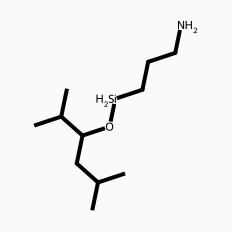 CC(C)CC(O[SiH2]CCCN)C(C)C